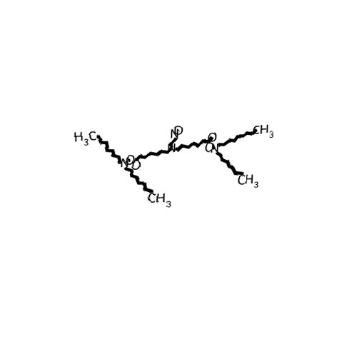 CCCCCCCCCN(CCCCCCCCC)OC(=O)CCCCCCN(CCCCCCC(=O)ON(CCCCCCCCC)CCCCCCCCC)CCN=O